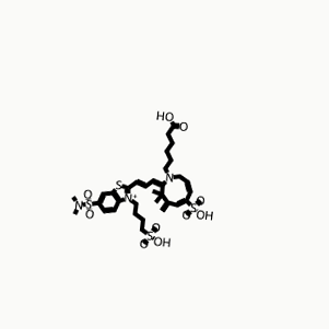 C=C1/C=C(S(=O)(=O)O)\C=C/CN(CCCCCC(=O)O)/C(=C/C=C/c2sc3cc(S(=O)(=O)N(C)C)ccc3[n+]2CCCCS(=O)(=O)O)C1(C)C